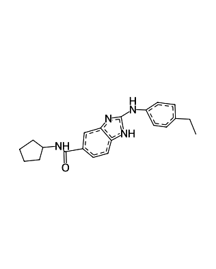 CCc1ccc(Nc2nc3cc(C(=O)NC4CCCC4)ccc3[nH]2)cc1